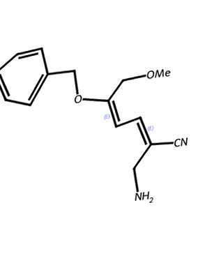 COC/C(=C\C=C(\C#N)CN)OCc1ccccc1